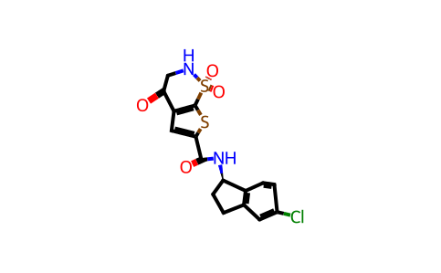 O=C(N[C@@H]1CCc2cc(Cl)ccc21)c1cc2c(s1)S(=O)(=O)NCC2=O